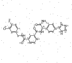 NC(=O)[C@H](NC(=O)c1cc(C(=O)NCc2ccc(F)c(Cl)c2)ncn1)c1ccc(-c2nnn[nH]2)cc1